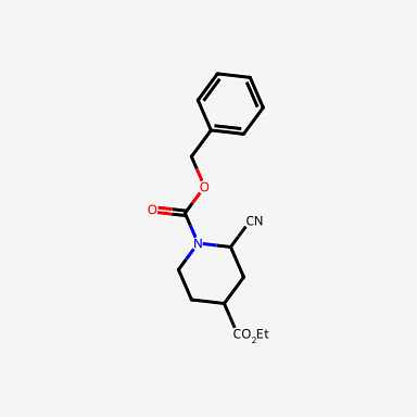 CCOC(=O)C1CCN(C(=O)OCc2ccccc2)C(C#N)C1